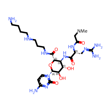 CNCC(=O)N[C@H](CN=C(N)N)C(=O)N[C@H]1[C@H](O)[C@@H](O)[C@H](n2ccc(N)nc2=O)O[C@@H]1C(=O)NCCCNCCCCN